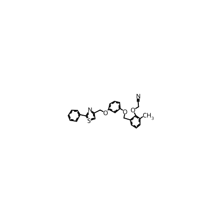 Cc1cccc(COc2cccc(OCc3csc(-c4ccccc4)n3)c2)c1OCC#N